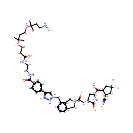 BNCCC(C)(C)OCCC(C)(C)OCCC(=O)NCCNC(=O)c1ccc(-c2cn(Cc3cccc4c3CN(C(=O)C[C@@H]3C[C@@H](C(=O)C5CC(F)(F)C[C@H]5C#N)NC3=O)C4)nn2)cc1